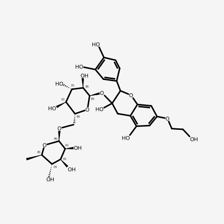 C[C@H]1O[C@@H](OC[C@H]2O[C@H](OC3(O)Cc4c(O)cc(OCCO)cc4OC3c3ccc(O)c(O)c3)[C@H](O)[C@@H](O)[C@@H]2O)[C@@H](O)[C@@H](O)[C@@H]1O